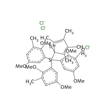 COc1cc(C)c(OC)c([Si](c2cc(OC)cc(C)c2OC)(c2cc(OC)cc(C)c2OC)[C]2([Ti+3])C(C)=C(C)C(C)=C2C)c1.[Cl-].[Cl-].[Cl-]